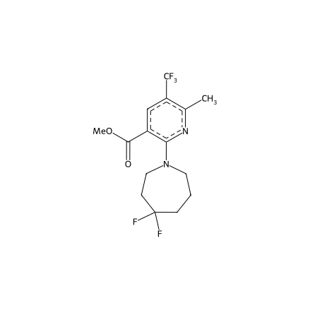 COC(=O)c1cc(C(F)(F)F)c(C)nc1N1CCCC(F)(F)CC1